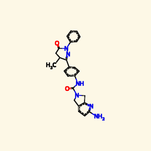 CC1CC(=O)N(c2ccccc2)N=C1c1ccc(NC(=O)N2Cc3ccc(N)nc3C2)cc1